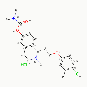 Cc1cc(OCCC2c3ccc(OC(=O)N(C)C)cc3CCN2C)ccc1Cl.Cl